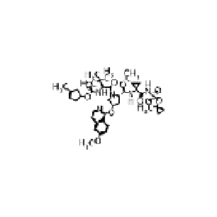 CC[C@@H]1C[C@]1(NC(=O)[C@@H]1C[C@@H](Oc2nccc3cc(OC)ccc23)CN1C(=O)[C@@H](NC(=O)O[C@H]1CC[C@@H](C)C1)C(C)(C)C)C(=O)NS(=O)(=O)OC1(C)CC1